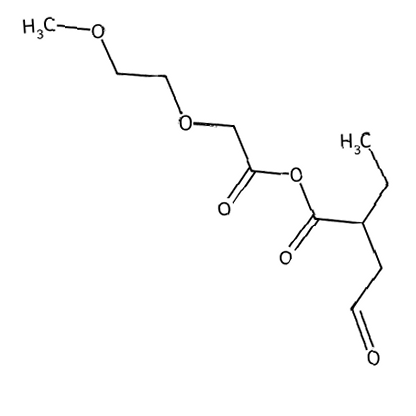 CCC(CC=O)C(=O)OC(=O)COCCOC